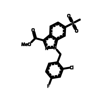 COC(=O)c1nn(Cc2ccc(F)cc2Cl)c2cc(S(C)(=O)=O)ccc12